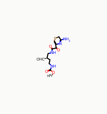 CCCOC(=O)NCC[C@@H](C=O)CNC(=O)C(=O)C1=CSCC(N)=N1